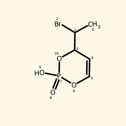 CC(Br)C1C=COP(=O)(O)O1